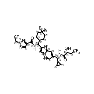 O=C(N[C@H](c1cn2ncc([C@H](NC(=O)[C@H](O)CC(F)(F)F)C3CC3)cc2n1)C1CCC(F)(F)CC1)c1cnn(CC(F)(F)F)n1